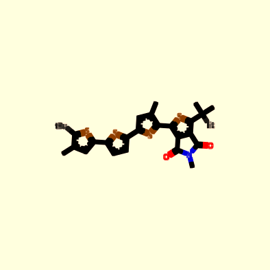 CCC(C)(C)c1sc(-c2sc(-c3ccc(-c4cc(C)c(C(C)(C)C)s4)s3)cc2C)c2c1C(=O)N(C)C2=O